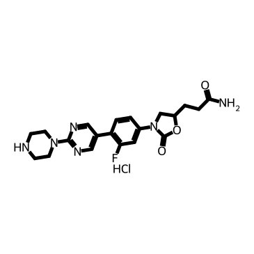 Cl.NC(=O)CCC1CN(c2ccc(-c3cnc(N4CCNCC4)nc3)c(F)c2)C(=O)O1